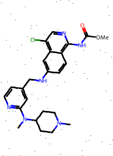 COC(=O)Nc1ncc(Cl)c2cc(NCc3ccnc(N(C)C4CCN(C)CC4)c3)ccc12